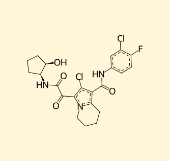 O=C(N[C@H]1CCC[C@H]1O)C(=O)c1c(Cl)c(C(=O)Nc2ccc(F)c(Cl)c2)c2n1CCCC2